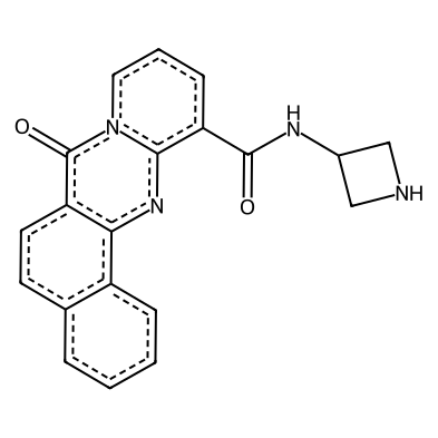 O=C(NC1CNC1)c1cccn2c(=O)c3ccc4ccccc4c3nc12